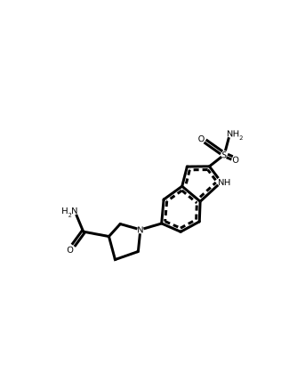 NC(=O)C1CCN(c2ccc3[nH]c(S(N)(=O)=O)cc3c2)C1